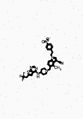 Cc1c(CN2CCC(Nc3ncnc4sc(CC(F)(F)F)cc34)CC2)ccc2c1c(C#N)cn2CCc1ccc([N+](=O)[O-])cc1